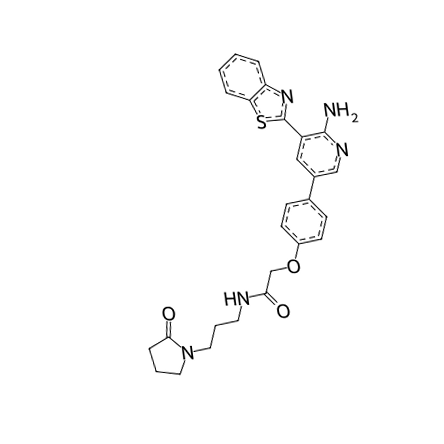 Nc1ncc(-c2ccc(OCC(=O)NCCCN3CCCC3=O)cc2)cc1-c1nc2ccccc2s1